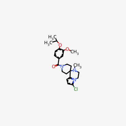 COc1cc(C(=O)N2CCC3(CC2)c2ccc(Cl)n2CCN3C)ccc1OC(C)C